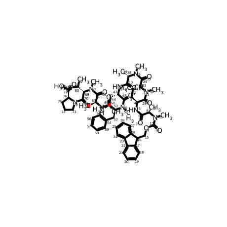 CC(C)C[C@H](NC(=O)[C@H](C)N(C)C(=O)OCC1c2ccccc2-c2ccccc21)C(=O)N(C)CC(=O)N(C)[C@@H](C)C(=O)N[C@@H](CC(C)C)C(=O)N(C)[C@@H](Cc1ccccc1)C(=O)N[C@@H](C)C(=O)N(C)[C@H](C(=O)N1CCC[C@H]1C(=O)O)C(C)C